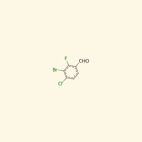 O=Cc1ccc(Cl)c(Br)c1F